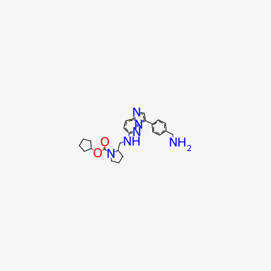 NCc1ccc(-c2cnc3ccc(NCC4CCCN4C(=O)OC4CCCC4)nn23)cc1